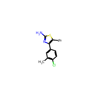 Cc1cc(-c2nc(N)sc2C(C)C)ccc1Cl